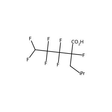 CC(C)CC(F)(C(=O)O)C(F)(F)C(F)(F)C(F)F